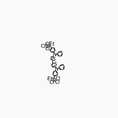 CCC(c1ccc(N(c2ccccc2)c2ccc(-c3ccc(N(c4ccccc4)c4ccc(C(CC)[Si](Cl)(Cl)Cl)cc4)s3)s2)cc1)[Si](Cl)(Cl)Cl